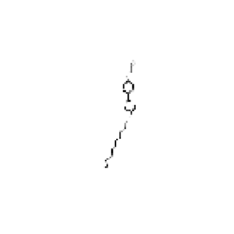 C=CCCCCCCCCCOc1cnc(-c2ccc(OC[C@@]3(C)CO3)cc2)nc1